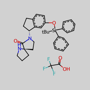 CC(C)(C)[Si](Oc1ccc2c(c1)[C@H](N1CC[C@]3(CCCN3)C1=O)CC2)(c1ccccc1)c1ccccc1.O=C(O)C(F)(F)F